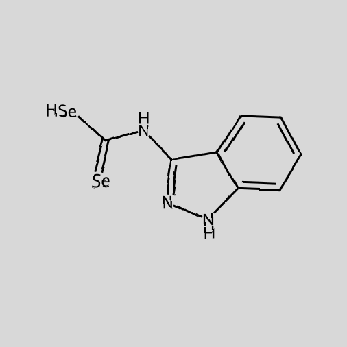 [Se]=C([SeH])Nc1n[nH]c2ccccc12